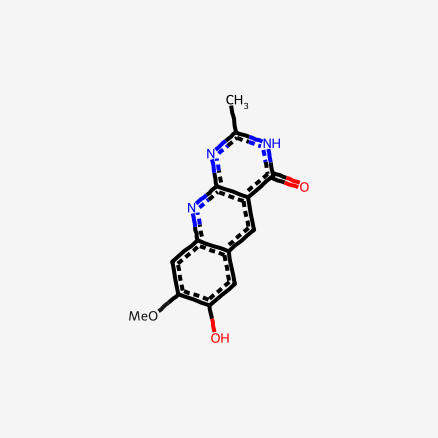 COc1cc2nc3nc(C)[nH]c(=O)c3cc2cc1O